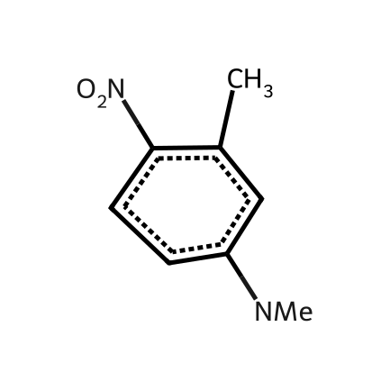 CNc1ccc([N+](=O)[O-])c(C)c1